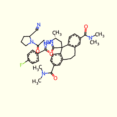 C[C@H](CC1(c2nnc(-c3ccc(F)cc3)o2)c2ccc(C(=O)N(C)C)cc2CCc2cc(C(=O)N(C)C)ccc21)NCC(=O)N1CCCC1C#N